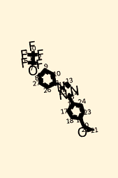 FC(F)(F)C(F)(F)Oc1ccc(-n2cnc(-c3ccc(C4CO4)cc3)n2)cc1